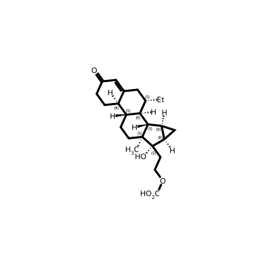 CC[C@H]1CC2=CC(=O)CC[C@@H]2[C@H]2CC[C@@]3(C)[C@@H]([C@H]4C[C@H]4[C@@]3(O)CCOC(=O)O)[C@H]12